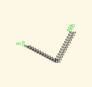 Cl.Cl.Cl.Cl.Cl.[NaH].[NaH].[NaH].[NaH].[NaH].[NaH].[NaH].[NaH].[NaH].[NaH].[NaH].[NaH].[NaH].[NaH].[NaH].[NaH].[NaH].[NaH].[NaH].[NaH].[NaH].[NaH].[NaH].[NaH].[NaH]